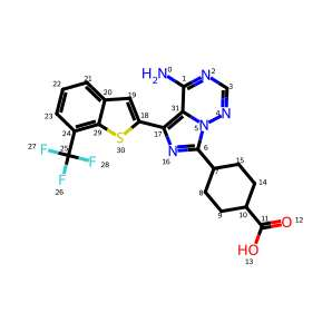 Nc1ncnn2c(C3CCC(C(=O)O)CC3)nc(-c3cc4cccc(C(F)(F)F)c4s3)c12